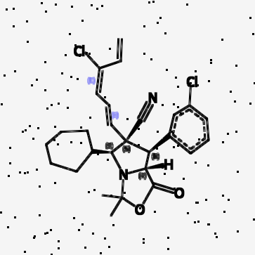 C=C/C(Cl)=C\C=C\[C@@]1(C#N)[C@H](C2CCCCC2)N2[C@@H](C(=O)OC2(C)C)[C@@H]1c1cccc(Cl)c1